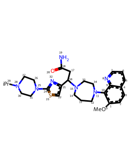 COc1ccc2cccnc2c1N1CCCN(C(CC(N)=O)c2csc(N3CCN(C(C)C)CC3)n2)CC1